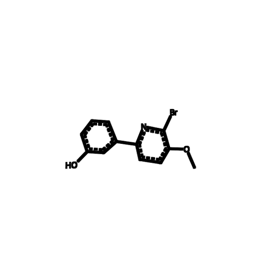 COc1ccc(-c2cccc(O)c2)nc1Br